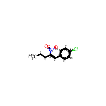 CCCC(=Cc1ccc(Cl)cc1)[N+](=O)[O-]